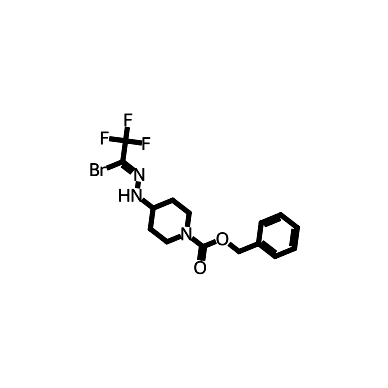 O=C(OCc1ccccc1)N1CCC(N/N=C(\Br)C(F)(F)F)CC1